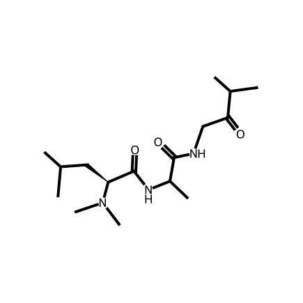 CC(C)C[C@@H](C(=O)NC(C)C(=O)NCC(=O)C(C)C)N(C)C